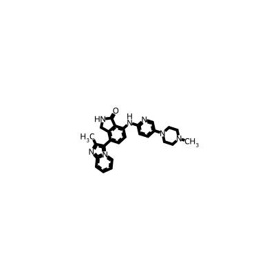 Cc1nc2ccccn2c1-c1ccc(Nc2ccc(N3CCN(C)CC3)cn2)c2c1CNC2=O